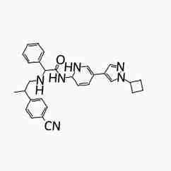 CC(CNC(C(=O)NC1C=CC(c2cnn(C3CCC3)c2)=CN1)c1ccccc1)c1ccc(C#N)cc1